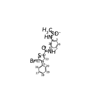 C[S+]([O-])Nc1cccc(NC(=O)c2cc(-c3ccccc3)c(Br)s2)c1